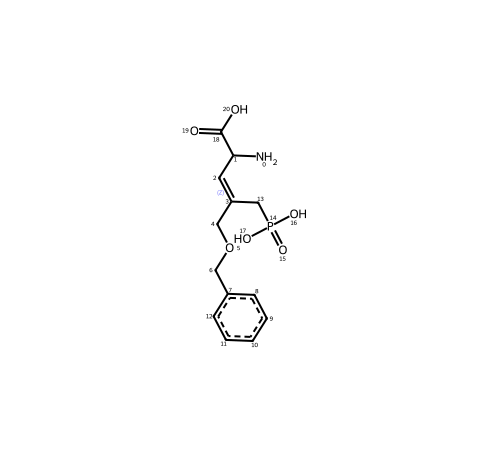 NC(/C=C(/COCc1ccccc1)CP(=O)(O)O)C(=O)O